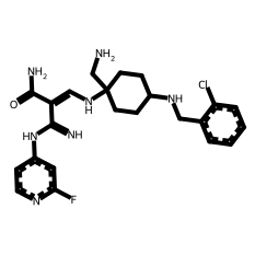 N=C(Nc1ccnc(F)c1)/C(=C\NC1(CN)CCC(NCc2ccccc2Cl)CC1)C(N)=O